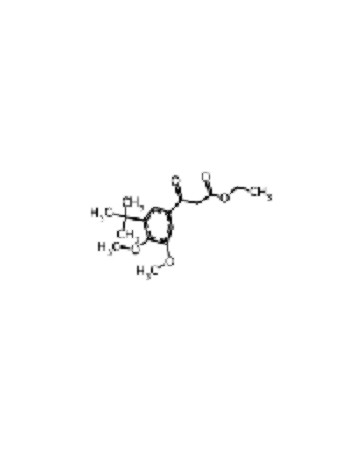 CCOC(=O)CC(=O)c1cc(OC)c(OC)c(C(C)(C)C)c1